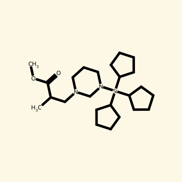 COC(=O)C(C)CN1CCCN([Si](C2CCCC2)(C2CCCC2)C2CCCC2)C1